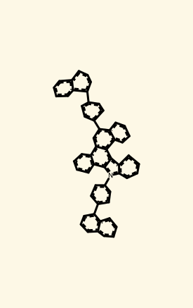 c1ccc2c(-c3ccc(-c4cc5c6ccccc6c6c(c7ccccc7n6-c6ccc(-c7cccc8ccccc78)cc6)c5c5ccccc45)cc3)cccc2c1